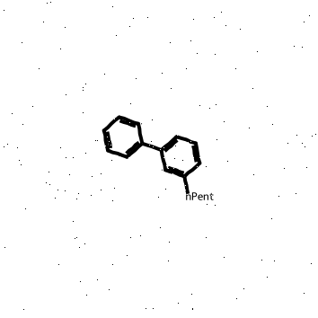 CCCCCc1[c]c(-c2[c]cccc2)ccc1